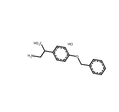 Cl.NCC(C(=O)O)c1ccc(OCc2ccccc2)cc1